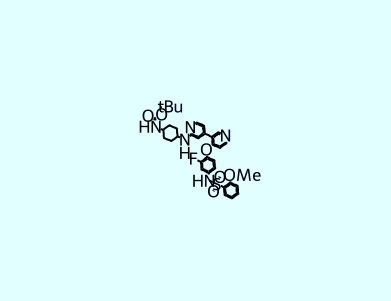 COc1ccccc1S(=O)(=O)Nc1ccc(Oc2ccncc2-c2ccnc(NC3CCC(NC(=O)OC(C)(C)C)CC3)c2)c(F)c1